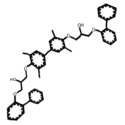 Cc1cc(-c2cc(C)c(OCC(O)COc3ccccc3-c3ccccc3)c(C)c2)cc(C)c1OCC(O)COc1ccccc1-c1ccccc1